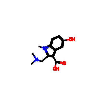 CN(C)Cc1c(C(=O)O)c2cc(O)ccc2n1C